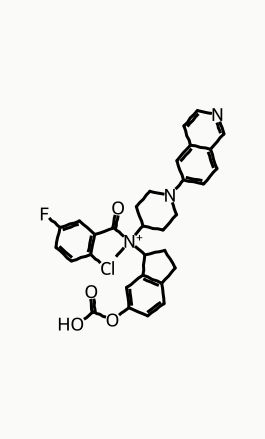 C[N+](C(=O)c1cc(F)ccc1Cl)(C1CCN(c2ccc3cnccc3c2)CC1)C1CCc2ccc(OC(=O)O)cc21